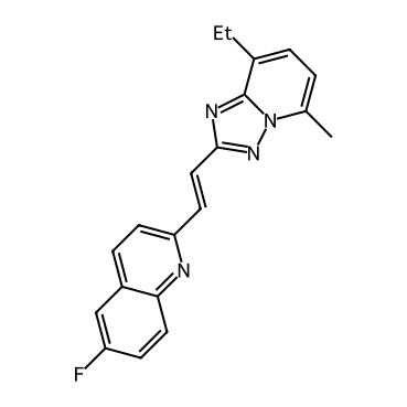 CCc1ccc(C)n2nc(/C=C/c3ccc4cc(F)ccc4n3)nc12